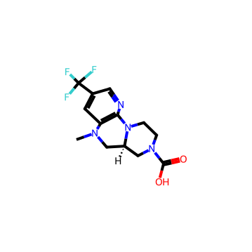 CN1C[C@@H]2CN(C(=O)O)CCN2c2ncc(C(F)(F)F)cc21